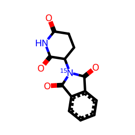 O=C1CCC([15N]2C(=O)c3ccccc3C2=O)C(=O)N1